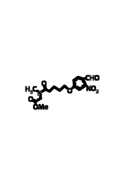 COC(=O)CN(C)C(=O)CCCCOc1ccc(C=O)c([N+](=O)[O-])c1